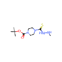 CNNC(=S)N1CCN(C(=O)OC(C)(C)C)CC1